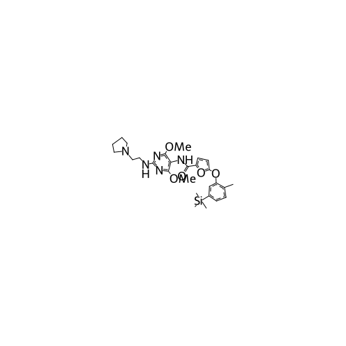 COc1nc(NCCN2CCCC2)nc(OC)c1NC(=O)c1ccc(Oc2cc([Si](C)(C)C)ccc2C)o1